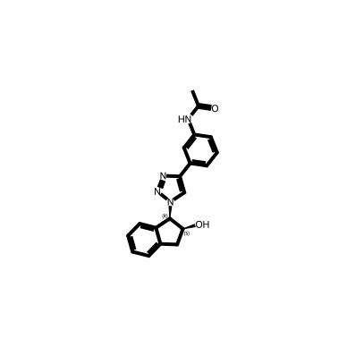 CC(=O)Nc1cccc(-c2cn([C@@H]3c4ccccc4C[C@@H]3O)nn2)c1